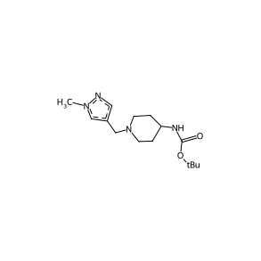 Cn1cc(CN2CCC(NC(=O)OC(C)(C)C)CC2)cn1